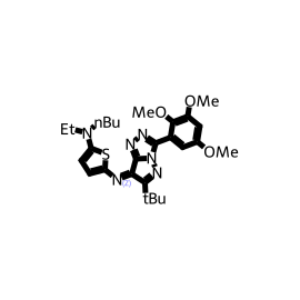 CCCCN(CC)c1ccc(/N=C2/C(C(C)(C)C)=Nn3c2nnc3-c2cc(OC)cc(OC)c2OC)s1